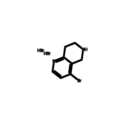 Br.Br.Brc1ccnc2c1CNCC2